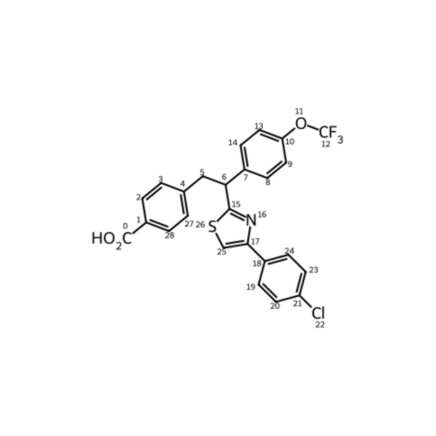 O=C(O)c1ccc(CC(c2ccc(OC(F)(F)F)cc2)c2nc(-c3ccc(Cl)cc3)cs2)cc1